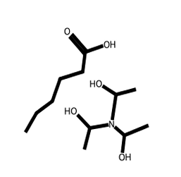 CC(O)N(C(C)O)C(C)O.CCCCCC(=O)O